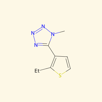 CCc1sccc1-c1nnnn1C